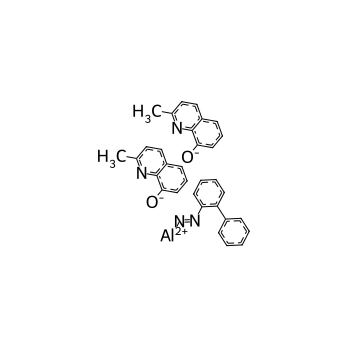 Cc1ccc2cccc([O-])c2n1.Cc1ccc2cccc([O-])c2n1.[Al+2][N]=Nc1ccccc1-c1ccccc1